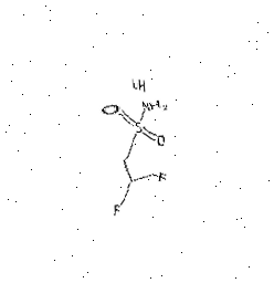 NS(=O)(=O)CC(F)F.[LiH]